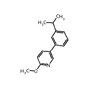 COc1ccc(-c2cccc(C(C)C)c2)cn1